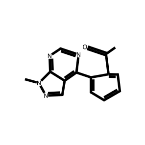 CC(=O)c1ccccc1-c1ncnc2c1cnn2C